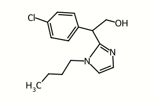 CCCCn1ccnc1C(CO)c1ccc(Cl)cc1